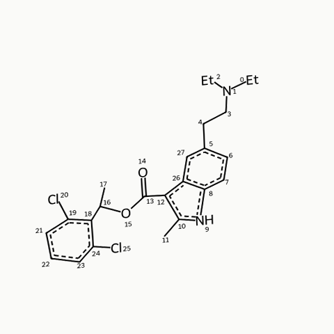 CCN(CC)CCc1ccc2[nH]c(C)c(C(=O)OC(C)c3c(Cl)cccc3Cl)c2c1